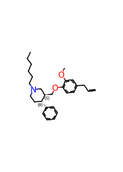 C=CCc1ccc(OC[C@@H]2CN(CCCCCC)CC[C@H]2c2ccccc2)c(OC)c1